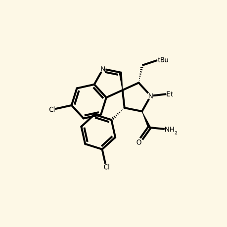 CCN1[C@@H](CC(C)(C)C)[C@]2(C=Nc3cc(Cl)ccc32)[C@@H](c2cccc(Cl)c2)[C@@H]1C(N)=O